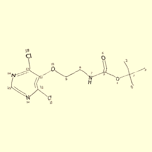 CC(C)(C)OC(=O)NCCOc1c(Cl)ncnc1Cl